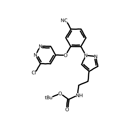 CC(C)(C)OC(=O)NCCc1cnn(-c2ccc(C#N)cc2Oc2cnnc(Cl)c2)c1